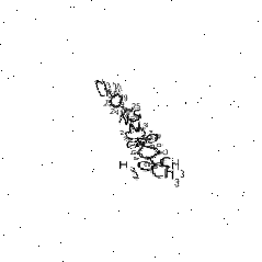 CC(C)(C)c1ccc(S(=O)(=O)C2CCN(c3nc(-c4ccc(Cl)cc4)cs3)CC2)cc1